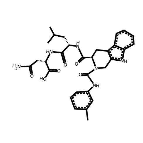 Cc1cccc(NC(=O)N2Cc3[nH]c4ccccc4c3C[C@@H]2C(=O)N[C@@H](CC(C)C)C(=O)N[C@@H](CC(N)=O)C(=O)O)c1